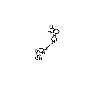 O=C1COc2ccc(/C=C/CCCN3CCN(c4cccc(Cl)c4Cl)CC3)nc2N1